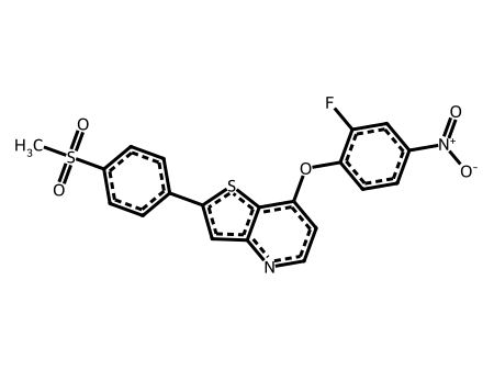 CS(=O)(=O)c1ccc(-c2cc3nccc(Oc4ccc([N+](=O)[O-])cc4F)c3s2)cc1